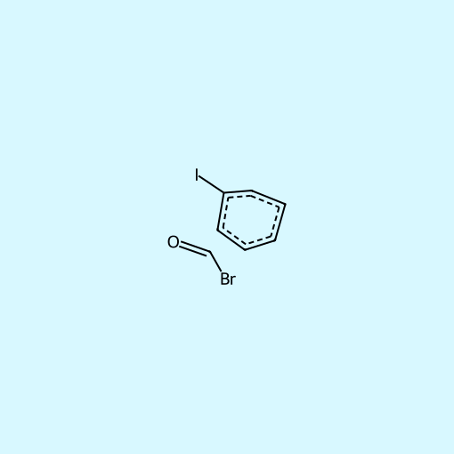 Ic1ccccc1.O=CBr